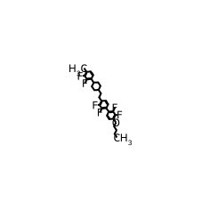 CCCCOc1ccc(-c2ccc(CCC3CCC(c4ccc(C)c(F)c4F)CC3)c(F)c2F)c(F)c1F